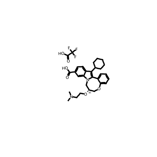 CN(C)CCO[C@H]1COc2ccccc2-c2c(C3CCCCC3)c3ccc(C(=O)O)cc3n2C1.O=C(O)C(F)(F)F